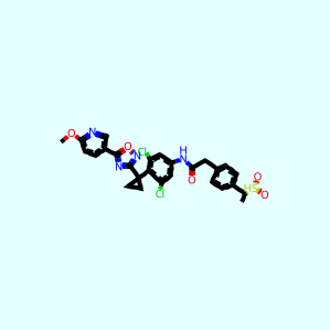 COc1ccc(-c2nc(C3(c4c(Cl)cc(NC(=O)Cc5ccc(C(C)[SH](=O)=O)cc5)cc4Cl)CC3)no2)cn1